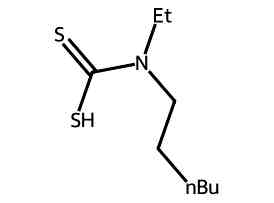 CCCCCCN(CC)C(=S)S